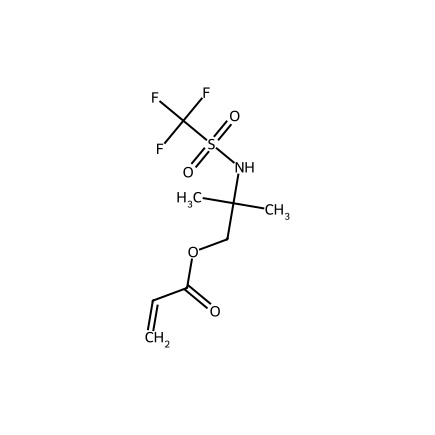 C=CC(=O)OCC(C)(C)NS(=O)(=O)C(F)(F)F